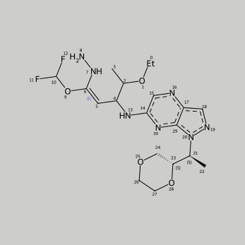 CCOC(C)C(/C=C(\NN)OC(F)F)Nc1cnc2cnn([C@@H](C)[C@H]3COCCO3)c2n1